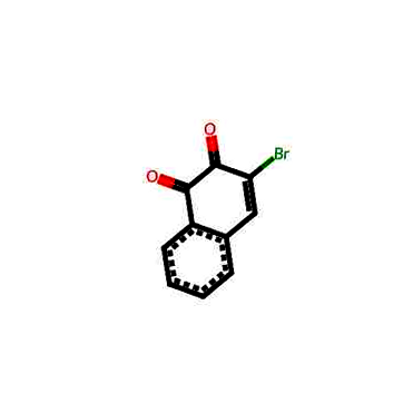 O=C1C(=O)c2ccccc2C=C1Br